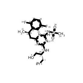 CC(C)C[C@H](CO)Nc1nc(C[C@@H](C)c2cc(F)ccc2F)nc(NS(C)(=O)=O)n1